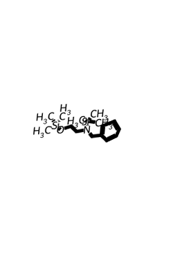 C[Si](C)(C)OCCN(Cc1ccccc1)[Si](C)(C)C